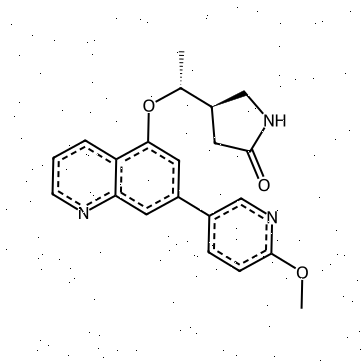 COc1ccc(-c2cc(O[C@H](C)[C@H]3CNC(=O)C3)c3cccnc3c2)cn1